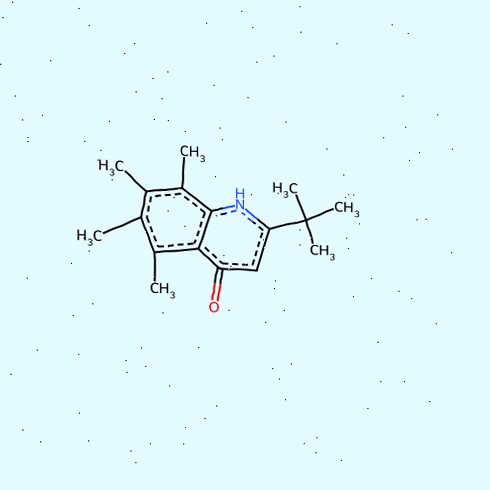 Cc1c(C)c(C)c2c(=O)cc(C(C)(C)C)[nH]c2c1C